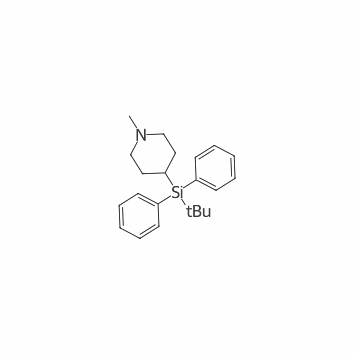 CN1CCC([Si](c2ccccc2)(c2ccccc2)C(C)(C)C)CC1